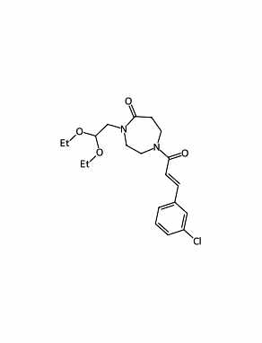 CCOC(CN1CCN(C(=O)/C=C/c2cccc(Cl)c2)CCC1=O)OCC